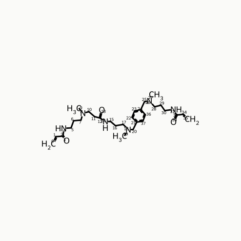 C=CC(=O)NCCCN(C)CCC(=O)NCCCN(C)Cc1ccc(CN(C)CCCNC(=O)C=C)cc1